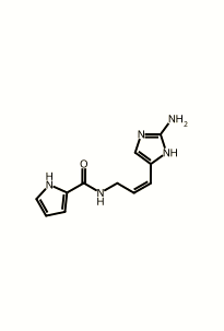 Nc1ncc(/C=C\CNC(=O)c2ccc[nH]2)[nH]1